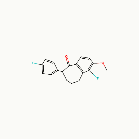 COc1ccc2c(c1F)CCCC(c1ccc(F)cc1)C2=O